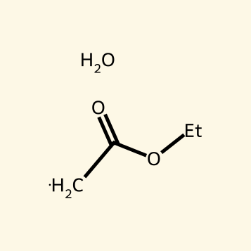 O.[CH2]C(=O)OCC